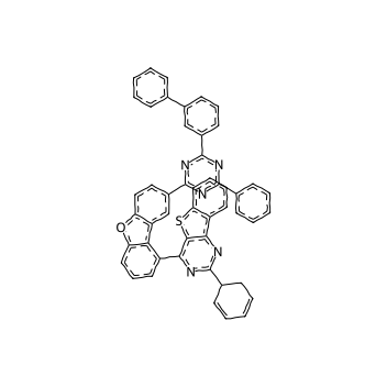 C1=CCC(c2nc(-c3cccc4oc5ccc(-c6nc(-c7ccccc7)nc(-c7cccc(-c8ccccc8)c7)n6)cc5c34)c3sc4ccccc4c3n2)C=C1